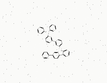 c1ccc(-c2ccc3c4ccccc4n(-c4cccc(-c5cccc(N(c6ccccc6)c6ccccc6)c5)c4)c3c2)cc1